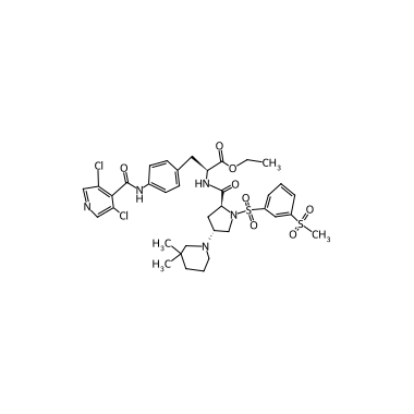 CCOC(=O)[C@H](Cc1ccc(NC(=O)c2c(Cl)cncc2Cl)cc1)NC(=O)[C@@H]1C[C@@H](N2CCCC(C)(C)C2)CN1S(=O)(=O)c1cccc(S(C)(=O)=O)c1